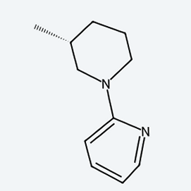 C[C@@H]1CCCN(c2ccccn2)C1